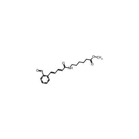 COC(=O)CCCCCNC(=O)/C=C/C=C/c1ccccc1N=O